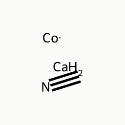 C#N.[CaH2].[Co]